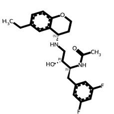 CCc1ccc2c(c1)[C@@H](NC[C@@H](O)[C@H](Cc1cc(F)cc(F)c1)NC(C)=O)CCO2